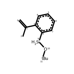 C=C(C)c1ccccc1[SiH2]OC(C)(C)C